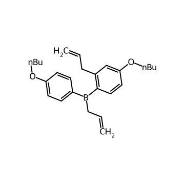 C=CCB(c1ccc(OCCCC)cc1)c1ccc(OCCCC)cc1CC=C